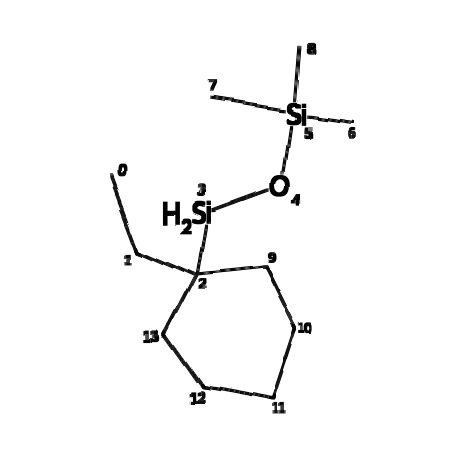 CCC1([SiH2]O[Si](C)(C)C)CCCCC1